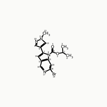 CC(C)OC(=O)n1c(-c2cnn(C)c2)cc2cnc(Br)cc21